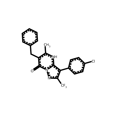 Cc1[nH]c2c(-c3ccc(Cl)cc3)c(C(F)(F)F)nn2c(=O)c1Cc1ccccc1